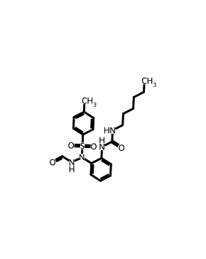 CCCCCCNC(=O)Nc1ccccc1N(NC=O)S(=O)(=O)c1ccc(C)cc1